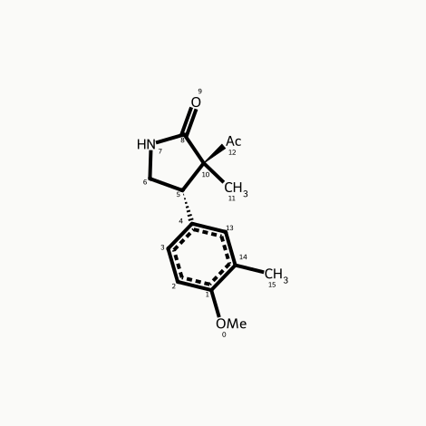 COc1ccc([C@@H]2CNC(=O)[C@@]2(C)C(C)=O)cc1C